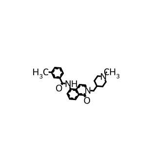 Cc1cccc(C(=O)Nc2cccc3c(=O)n(CC4CCN(C)CC4)ccc23)c1